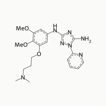 COc1cc(Nc2nc(N)n(-c3ccccn3)n2)cc(OCCCN(C)C)c1OC